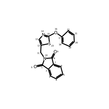 O=C1c2ccccc2C(=O)N1Cc1cnc(Oc2ccccc2)s1